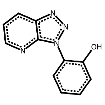 Oc1ccccc1-n1nnc2cccnc21